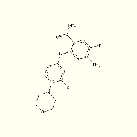 Cc1nc(Nc2ccc(N3CCOCC3)c(F)c2)c(C(N)=O)cc1F